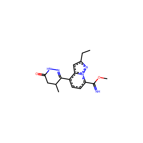 CCc1cc2c(C3=NNC(=O)CC3C)ccc(C(=N)OC)n2n1